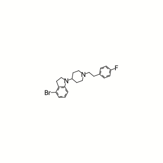 Fc1ccc(CCN2CCC(N3CCc4c(Br)cccc43)CC2)cc1